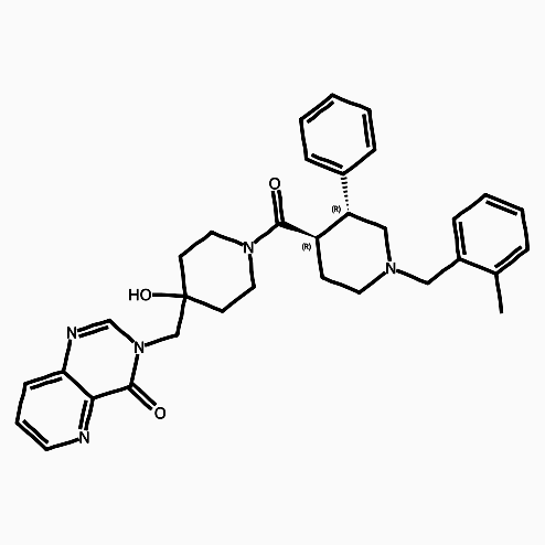 Cc1ccccc1CN1CC[C@@H](C(=O)N2CCC(O)(Cn3cnc4cccnc4c3=O)CC2)[C@H](c2ccccc2)C1